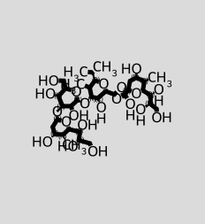 CC(C)[C@H]1OC(CO[C@]2(C(=O)O)C[C@@H](O)[C@@H](C)C([C@H](O)[C@H](O)CO)O2)[C@H](O)[C@H](O[C@@H]2OC(CO)[C@H](O)[C@H](O[C@@H]3C[C@@H](O)[C@@H](C)C([C@H](O)[C@H](O)CO)O3)C2O)C1C